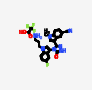 Cn1cc(-c2n[nH]c(=O)n2-c2cn(CCCN)c3ccc(F)cc23)c2cc(C#N)ccc21.O=C(O)C(F)(F)F